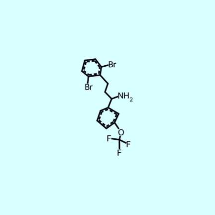 NC(CCc1c(Br)cccc1Br)c1cccc(OC(F)(F)F)c1